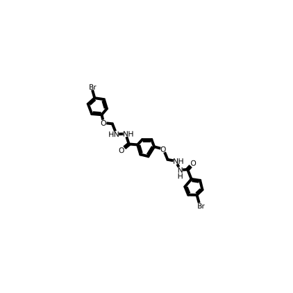 O=C(NNCOc1ccc(C(=O)NNCOc2ccc(Br)cc2)cc1)c1ccc(Br)cc1